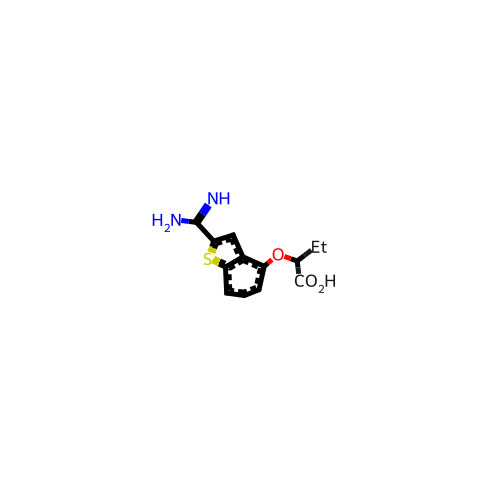 CCC(Oc1cccc2sc(C(=N)N)cc12)C(=O)O